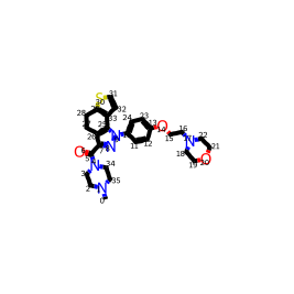 CN1CCN(C(=O)c2nn(-c3ccc(OCCN4CCOCC4)cc3)c3c2CCc2sccc2-3)CC1